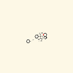 CCC(SC(=N)N)C1(C2=C(n3ccc4ccccc43)C(=O)NC2=O)C=Nc2ccc(OCSc3ccccc3)cc21